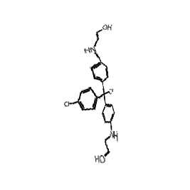 OCCNc1ccc(C(Cl)(c2ccc(Cl)cc2)c2ccc(NCCO)cc2)cc1